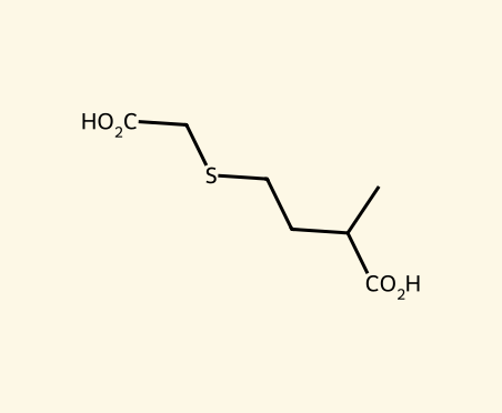 CC(CCSCC(=O)O)C(=O)O